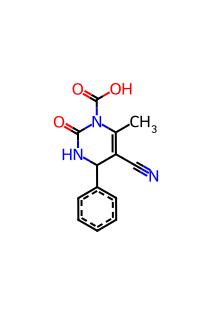 CC1=C(C#N)C(c2ccccc2)NC(=O)N1C(=O)O